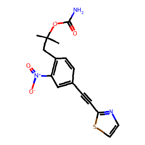 CC(C)(Cc1ccc(C#Cc2nccs2)cc1[N+](=O)[O-])OC(N)=O